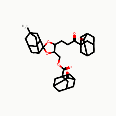 CC12CC3CC(C1)C1(OC(CCC(=O)C45CC6CC(C4)C(=O)C(C6)C5)C(COC(=O)C45CC6CC(C4)C(=O)C(C6)C5)O1)C(C3)C2